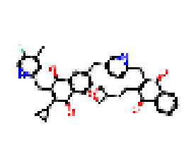 Cc1cc(CC2=C(C3CC3)C(=O)c3ccc(Cc4ccc(CC5=C(CCC6COC6)C(=O)c6ccccc6C5=O)nc4)cc3C2=O)ncc1F